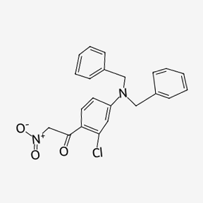 O=C(C[N+](=O)[O-])c1ccc(N(Cc2ccccc2)Cc2ccccc2)cc1Cl